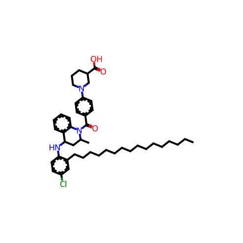 CCCCCCCCCCCCCCCCc1cc(Cl)ccc1NC1CC(C)N(C(=O)c2ccc(N3CCCC(C(=O)O)C3)cc2)c2ccccc21